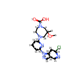 COC1(C)CN(C(=O)O)CCN(c2cccc(-n3ncc4cnc(Cl)cc43)n2)C1